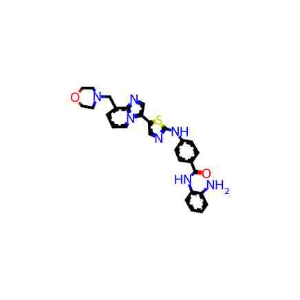 Nc1ccccc1NC(=O)c1ccc(Nc2ncc(-c3cnc4c(CN5CCOCC5)cccn34)s2)cc1